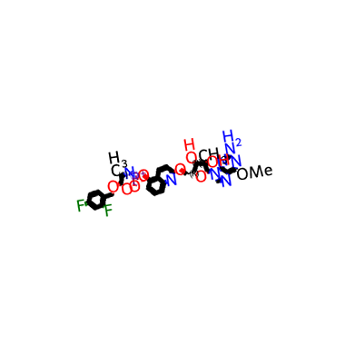 COc1nc(N)nc2c1ncn2C1O[C@H](COc2ccc3c(O/[P+]([O-])=N/[C@@H](C)C(=O)OCc4ccc(F)cc4F)cccc3n2)[C@@H](O)[C@@]1(C)O